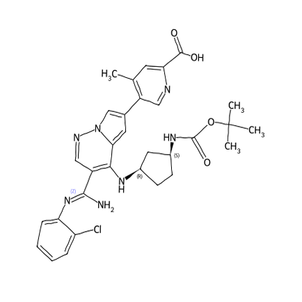 Cc1cc(C(=O)O)ncc1-c1cc2c(N[C@@H]3CC[C@H](NC(=O)OC(C)(C)C)C3)c(/C(N)=N/c3ccccc3Cl)cnn2c1